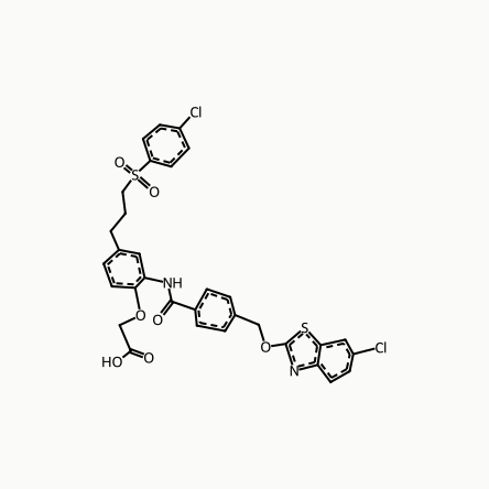 O=C(O)COc1ccc(CCCS(=O)(=O)c2ccc(Cl)cc2)cc1NC(=O)c1ccc(COc2nc3ccc(Cl)cc3s2)cc1